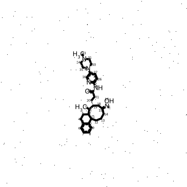 CC1C2CCc3ccccc3C2CCC/C(=N/O)C[C@H]1CCC(=O)Nc1ccc(N2CCN(C)CC2)cn1